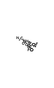 C=CCNC(=O)COc1nn(-c2ccccc2F)c(-c2ccc(F)nc2)c1Br